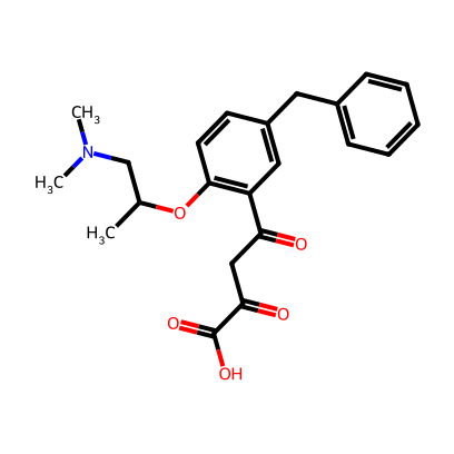 CC(CN(C)C)Oc1ccc(Cc2ccccc2)cc1C(=O)CC(=O)C(=O)O